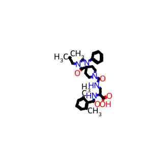 Cc1cccc(C)c1C(=O)NC(CNC(=O)N1CCC2(CC1)C(=O)N(CC(C)C)CN2c1ccccc1)C(=O)O